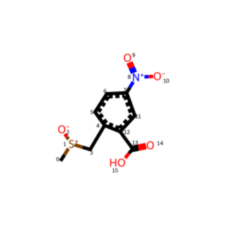 C[S+]([O-])Cc1ccc([N+](=O)[O-])cc1C(=O)O